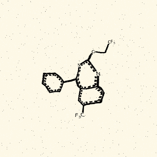 FC(F)(F)COc1nc(-c2ccccc2)c2cc(C(F)(F)F)ccc2n1